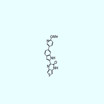 COc1ccc(-c2ccc3cc(-c4nc5cscc5[nH]c4=O)[nH]c3c2)cn1